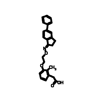 Cc1c(CC(=O)O)cccc1OCCON=C1CCc2cc(-c3ccccc3)ccc21